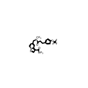 CN(Cc1ccn2ncc(C(N)=O)c2c1)C(=O)CCc1ccc(OC(F)(F)F)cc1